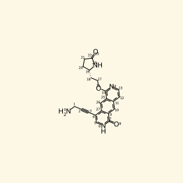 NCC#Cc1c[nH]c(=O)c2cc3ccnc(OCC[C@@H]4CCC(=O)N4)c3cc12